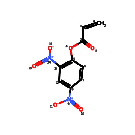 C=CC(=O)Oc1ccc([N+](=O)[O-])cc1[N+](=O)[O-]